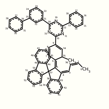 C\C=C/C=C1\C(=C2\C=CC(c3nc(-c4ccccc4)nc(-c4cccc(-c5ccccc5)c4)n3)=CC2C)C2(c3ccccc31)c1ccccc1-c1ccccc12